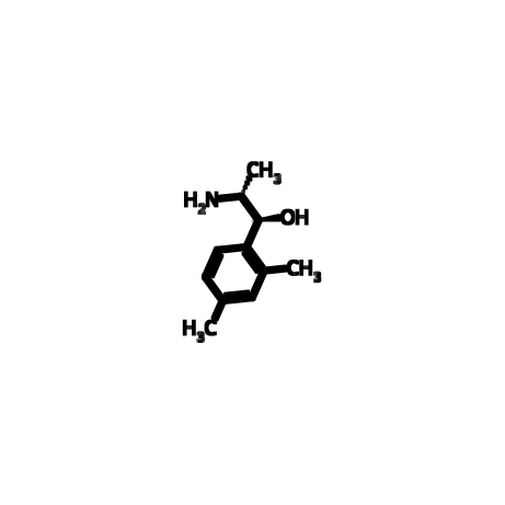 Cc1ccc([C@H](O)[C@@H](C)N)c(C)c1